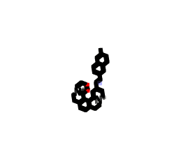 Cc1ccc2cc(/C=C/c3cc[n+]4c(c3)-c3c(ccc5c3-c3c6ccccc6cc[n+]3CC5)CC4)ccc2c1